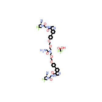 N#C[C@@H]1CC(F)(F)CN1C(=O)CNC(=O)c1ccnc2ccc(-c3ccc(OCCOCCN(CCOCCOc4ccc(-c5ccc6nccc(C(=O)NCC(=O)N7CC(F)(F)C[C@H]7C#N)c6c5)cc4)C(=O)CN)cc3)cc12.O=C(O)C(F)(F)F